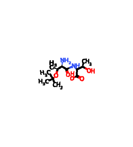 C[C@@H](O)[C@H](NC(=O)[C@@H](N)[C@@H](C)OC(C)(C)C)C(=O)O